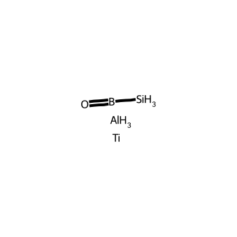 O=B[SiH3].[AlH3].[Ti]